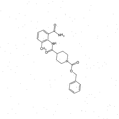 Cc1cccc(C(N)=O)c1NC(=O)C1CCN(C(=O)OCc2ccccc2)CC1